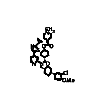 COc1ccc([C@H]2CC[C@H](CN(c3cc(-c4cnc(C5CC5)s4)ccn3)C(=O)[C@H]3CC[C@H](OC(=O)N4CCN(C)CC4)CC3)CC2)cc1Cl